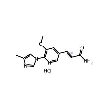 COc1cc(/C=C/C(N)=O)cnc1-n1cnc(C)c1.Cl